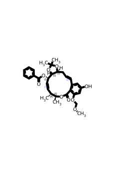 COCOc1cc(O)cc2c1C(=O)O[C@@H](C)[C@H](C)/C=C\[C@H](OC(=O)c1ccccc1)[C@H]1OC(C)(C)O[C@H]1C/C=C/2